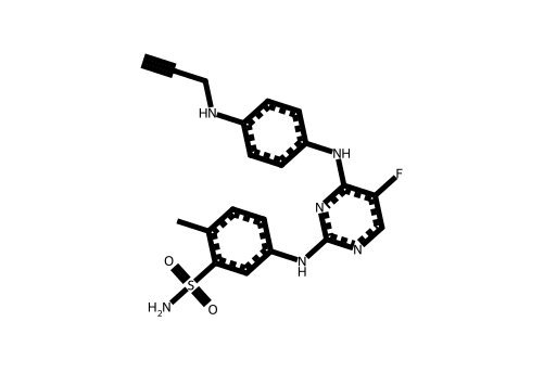 C#CCNc1ccc(Nc2nc(Nc3ccc(C)c(S(N)(=O)=O)c3)ncc2F)cc1